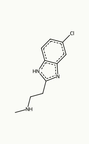 CNCCc1nc2cc(Cl)ccc2[nH]1